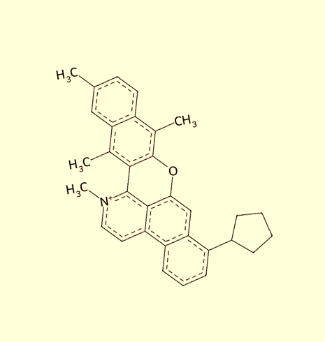 Cc1ccc2c(C)c3c(c(C)c2c1)-c1c2c(cc4c(C5CCCC5)cccc4c2cc[n+]1C)O3